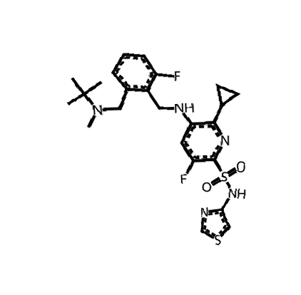 CN(Cc1cccc(F)c1CNc1cc(F)c(S(=O)(=O)Nc2cscn2)nc1C1CC1)C(C)(C)C